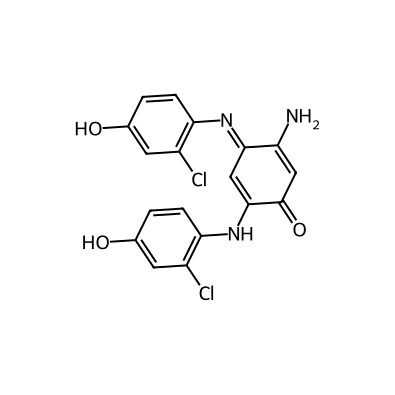 NC1=CC(=O)C(Nc2ccc(O)cc2Cl)=CC1=Nc1ccc(O)cc1Cl